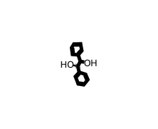 OC(c1ccccc1)[C@H](O)c1ccccc1